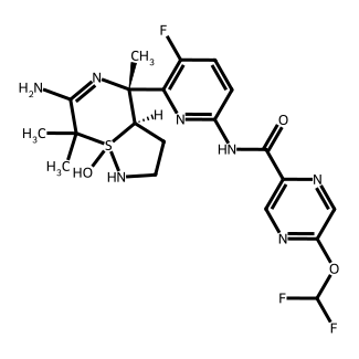 CC1(C)C(N)=N[C@](C)(c2nc(NC(=O)c3cnc(OC(F)F)cn3)ccc2F)[C@H]2CCNS21O